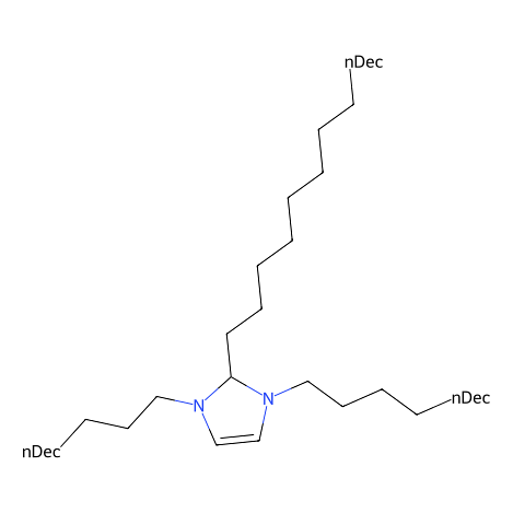 CCCCCCCCCCCCCCCCCCC1N(CCCCCCCCCCCCC)C=CN1CCCCCCCCCCCCCC